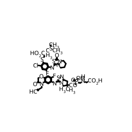 C#CCN1C(=O)COc2cc(F)c(/N=c3\snc4n3CC(C)(C)C4)cc21.C[S+](C)C.O=C(O)CNCP(=O)([O-])O.O=C(O)CSc1cc(N=c2sc(=O)n3n2CCCC3)c(F)cc1Cl